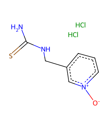 Cl.Cl.NC(=S)NCc1ccc[n+]([O-])c1